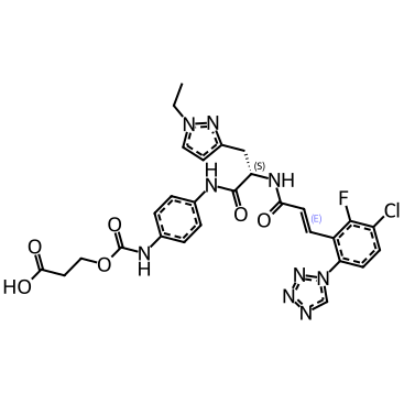 CCn1ccc(C[C@H](NC(=O)/C=C/c2c(-n3cnnn3)ccc(Cl)c2F)C(=O)Nc2ccc(NC(=O)OCCC(=O)O)cc2)n1